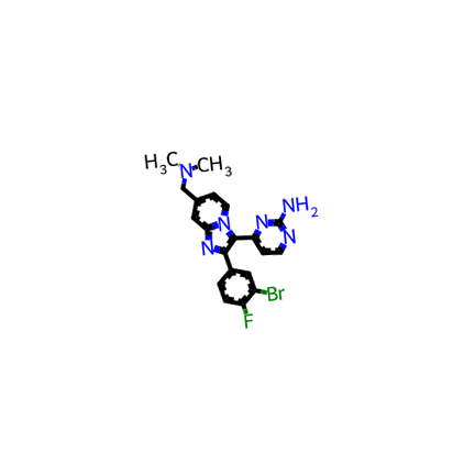 CN(C)Cc1ccn2c(-c3ccnc(N)n3)c(-c3ccc(F)c(Br)c3)nc2c1